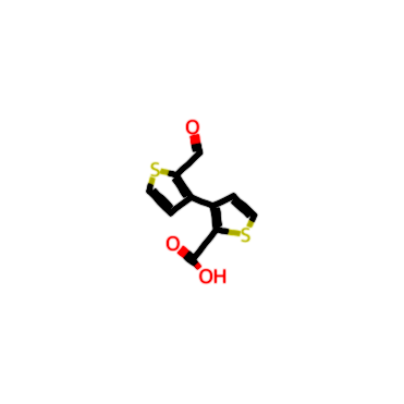 O=Cc1sccc1-c1ccsc1C(=O)O